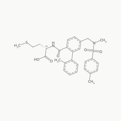 CSCC[C@H](NC(=O)c1ccc(CN(C)S(=O)(=O)c2ccc(C)cc2)cc1-c1ccccc1C)C(=O)O